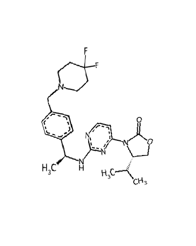 CC(C)[C@H]1COC(=O)N1c1ccnc(N[C@@H](C)c2ccc(CN3CCC(F)(F)CC3)cc2)n1